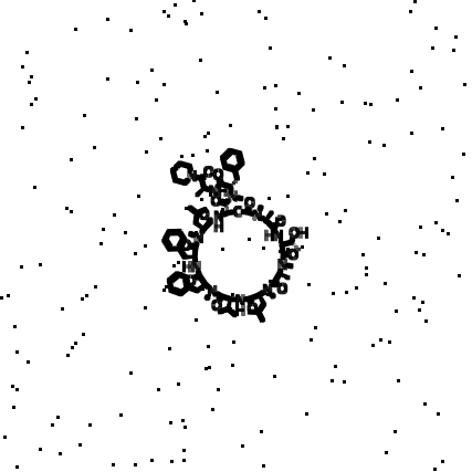 CC(C)C[C@H]1C(=O)N[C@H](C(=O)N(C)[C@@H](Cc2ccccc2)C(=O)N[C@@H](C)C(=O)N2CCCCC2)CC(=O)N(C)[C@@H](C)C(=O)N[C@@H]([C@@H](C)O)C(=O)N(C)[C@@H](C)C(=O)N(C)[C@@H](CC(C)C)C(=O)N[C@@H](C(C)C)C(=O)N(C)[C@@H](Cc2ccccc2)C(=O)N[C@@H](Cc2ccccc2)C(=O)N1C